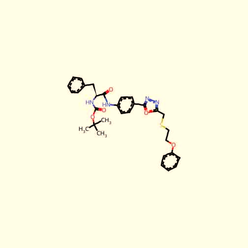 CC(C)(C)OC(=O)N[C@@H](Cc1ccccc1)C(=O)Nc1ccc(-c2nnc(CSCCOc3ccccc3)o2)cc1